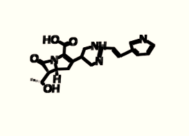 C[C@@H](O)[C@H]1C(=O)N2C(C(=O)O)=C(C3CN=C(C=Cc4cccnc4)NC3)C[C@H]12